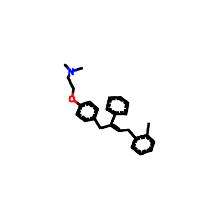 Cc1ccccc1CC=C(Cc1ccc(OCCN(C)C)cc1)c1ccccc1